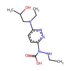 CCNN(C(=O)O)c1ccc(N(CC)CC(C)O)nn1